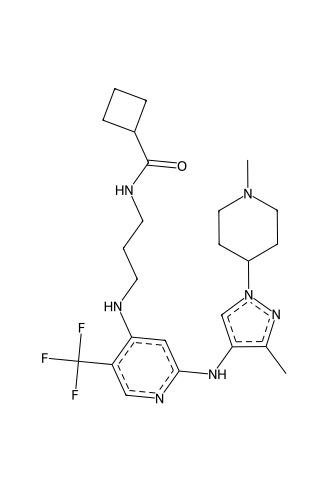 Cc1nn(C2CCN(C)CC2)cc1Nc1cc(NCCCNC(=O)C2CCC2)c(C(F)(F)F)cn1